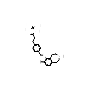 CC(C)(C)NC(=O)CCc1ccc(CNc2c(Cl)ccc3c2CCNCC3)cc1